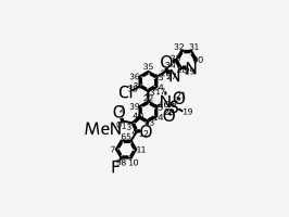 CNC(=O)c1c(-c2ccc(F)cc2)oc2cc(N(C)S(C)(=O)=O)c(-c3cc(-c4nc5ncccc5o4)ccc3Cl)cc12